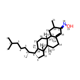 CC(C)CCC[C@@H](C)[C@H]1CC[C@H]2[C@@H]3CCC4=CC(=NO)C(C)C[C@]4(C)[C@H]3CC[C@]12C